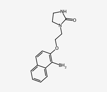 Bc1c(OCCN2CCNC2=O)ccc2ccccc12